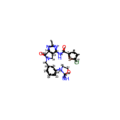 Cc1nc(NC(=O)c2ccc(Cl)s2)c2c(n1)C(=O)N(Cc1cccc(N3CCOC3=N)c1)C2